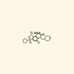 COC(=O)C(CC1CCOCC1)n1c(C)c(C)c(S(=O)(=O)C2CCCC2)cc1=O